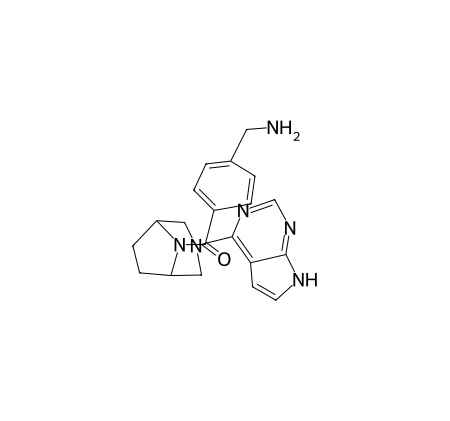 NCc1ccc(C(=O)N2C3CCC2CN(c2ncnc4[nH]ccc24)C3)cc1